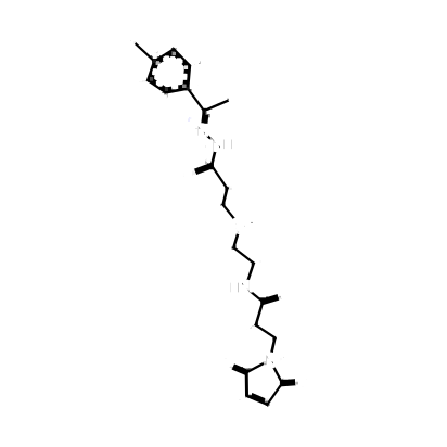 C/C(=N\NC(=O)CCOCCNC(=O)CCN1C(=O)C=CC1=O)c1ccc(C)cc1